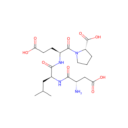 CC(C)C[C@H](NC(=O)[C@@H](N)CC(=O)O)C(=O)N[C@@H](CCC(=O)O)C(=O)N1CCC[C@H]1C(=O)O